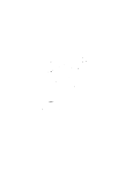 Cc1cccc(CSc2ccc([N+](=O)[O-])cc2C(O)P(=O)(O)O)c1